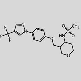 CS(=O)(=O)NC1CCOCC1COc1ccc(-n2cc(C(F)(F)F)cn2)cc1